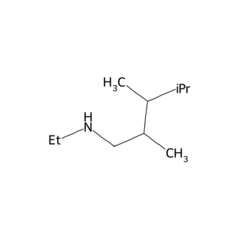 CCNCC(C)C(C)C(C)C